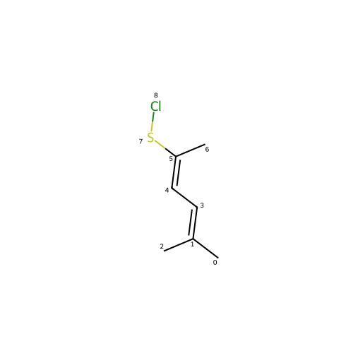 CC(C)=C/C=C(\C)SCl